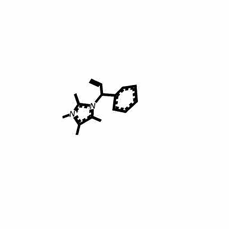 C=CC(c1ccccc1)n1c(C)c(C)[n+](C)c1C